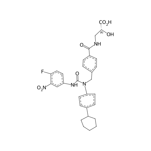 O=C(NC[C@@H](O)C(=O)O)c1ccc(CN(C(=O)Nc2ccc(F)c([N+](=O)[O-])c2)c2ccc(C3CCCCC3)cc2)cc1